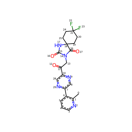 Cc1ncccc1-c1cnc(C(=O)CN2C(=O)NC3(CCC(F)(F)CC3)C2=O)cn1